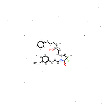 C[C@@H](CCCc1ccccc1)[C@H](O)CCC1CC(F)(F)C(=O)N1CCCc1cccc(C(=O)O)c1